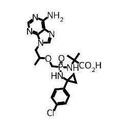 CC(Cn1cnc2c(N)ncnc21)OCP(=O)(NC(C)(C)C(=O)O)NC1(c2ccc(Cl)cc2)CC1